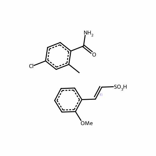 COc1ccccc1/C=C/S(=O)(=O)O.Cc1cc(Cl)ccc1C(N)=O